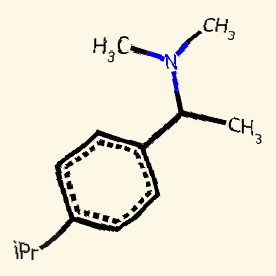 CC(C)c1ccc(C(C)N(C)C)cc1